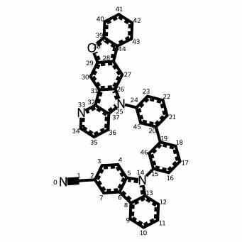 N#Cc1ccc2c(c1)c1ccccc1n2-c1cccc(-c2cccc(-n3c4cc5c(cc4c4ncccc43)oc3ccccc35)c2)c1